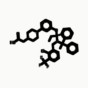 CC[C@@](C)(Oc1cccc(N2CCN(CC(=O)O)CC2)c1)N(Cc1cccc(C(F)(F)F)c1Cl)C(C)(c1ccccc1)c1ccccc1